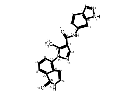 O=C(Nc1ccc2cn[nH]c2c1)c1cnn(-c2cccc3c(=O)[nH]ccc23)c1C(F)(F)F